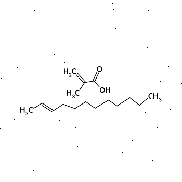 C/C=C/CCCCCCCCC.C=C(C)C(=O)O